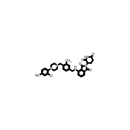 Cc1cc(CNc2cccc3c2C(=O)N(C2CCC(=O)NC2=O)C3=O)ccc1CN1CCN(c2ccc(C#N)cc2Cl)CC1